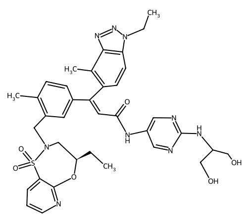 CC[C@@H]1CN(Cc2cc(C(=CC(=O)Nc3cnc(NC(CO)CO)nc3)c3ccc4c(nnn4CC)c3C)ccc2C)S(=O)(=O)c2cccnc2O1